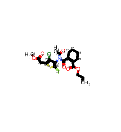 C=CCOC(=O)C1=C(C(=O)N(C(C)=O)c2c(F)sc(CC(=O)OC)c2Cl)CCCC1